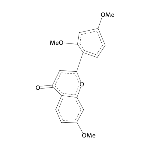 COc1ccc(-c2cc(=O)c3ccc(OC)cc3o2)c(OC)c1